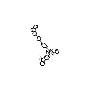 CC1(C)c2ccccc2-c2ccc(-c3nc(-c4ccccc4)nc(-c4ccc(-c5ccc(-c6ccc7sc8ccccc8c7c6)cc5)cc4)n3)cc21